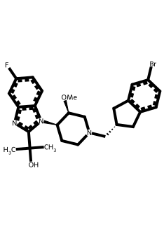 CO[C@H]1CN(C[C@H]2Cc3ccc(Br)cc3C2)CC[C@H]1n1c(C(C)(C)O)nc2cc(F)ccc21